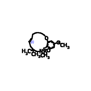 COc1ccc2c(c1)OCCCC/C=C/CC(C)(C)CN(C)S2(=O)=O